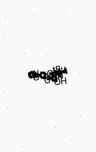 CC(C)(C)[C@@H](C(=O)N1CC(O)CC1C(=O)NC1CCC(c2nc3ccccc3o2)CC1)n1cc(C2CC2)nn1